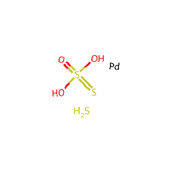 O=S(O)(O)=S.S.[Pd]